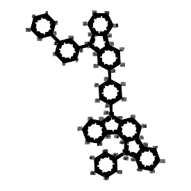 c1ccc(-c2cccc(-n3c4ccccc4c4ccc(-c5ccc(-n6c7ccccc7c7c6ccc6c8ccccc8n(-c8ccccc8)c67)cc5)cc43)c2)cc1